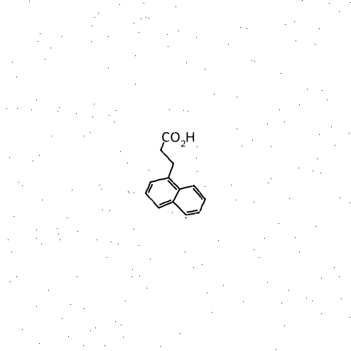 O=C(O)CCc1cccc2[c]cccc12